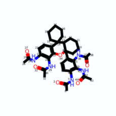 CC(=O)Nc1ccc(C23CCCCC2C2(CCCCC2)c2ccc(NC(C)=O)c(NC(C)=O)c2O3)c(NC(C)=O)c1NC(C)=O